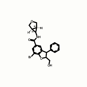 O=C(NC1[C@H]2COC[C@@H]12)c1cc(Br)c2c(c1)C(c1ccccc1)C(CO)O2